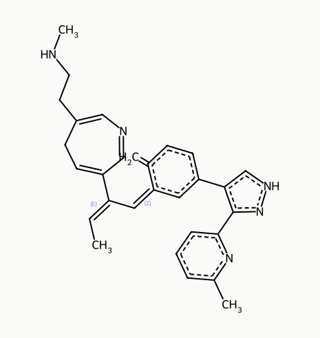 C=c1ccc(-c2c[nH]nc2-c2cccc(C)n2)c/c1=C/C(=C\C)C1=CCC(CCNC)=CN=C1